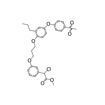 CCCc1cc(Oc2ccc(S(C)(=O)=O)cc2)ccc1OCCCOc1cccc(C(Cl)C(=O)OC)c1